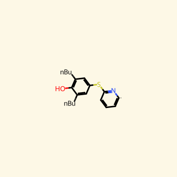 CCCCc1cc(Sc2ccc[c]n2)cc(CCCC)c1O